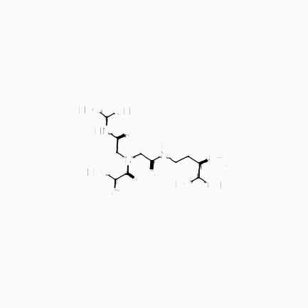 C=C(CCNC(=O)CN(CC(=O)NC(C)C)C(=O)C(C)C)C(C)C